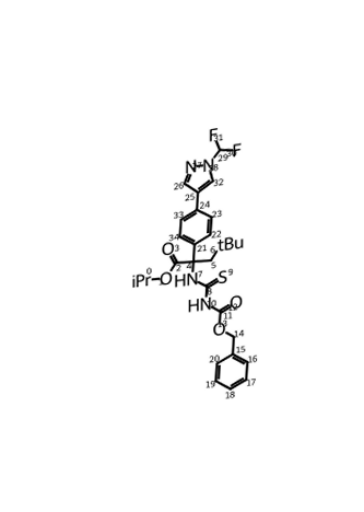 CC(C)OC(=O)C(CC(C)(C)C)(NC(=S)NC(=O)OCc1ccccc1)c1ccc(-c2cnn(C(F)F)c2)cc1